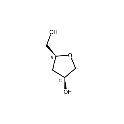 OC[C@@H]1C[C@H](O)[CH]O1